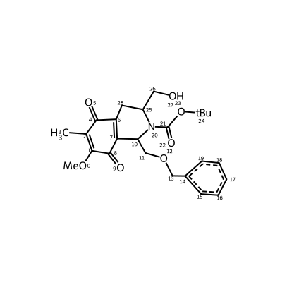 COC1=C(C)C(=O)C2=C(C1=O)C(COCc1ccccc1)N(C(=O)OC(C)(C)C)C(CO)C2